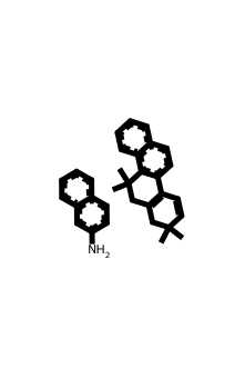 CC1(C)C=CC2=C(C1)CC(C)(C)c1c2ccc2ccccc12.Nc1ccc2ccccc2c1